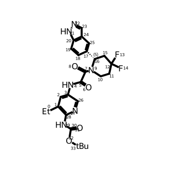 CCc1cc(NC(=O)C(=O)N2CCC(F)(F)C[C@H]2c2ccc3[nH]ncc3c2)cnc1NC(=O)OC(C)(C)C